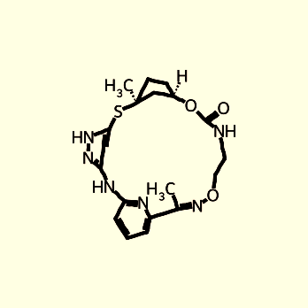 C/C1=N\OCCNC(=O)O[C@@H]2CC[C@@](C)(C2)Sc2cc(n[nH]2)Nc2cccc1n2